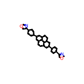 c1nc(-c2ccc(-c3cc4ccc5cc(-c6ccc(-c7cocn7)cc6)cc6ccc(c3)c4c56)cc2)co1